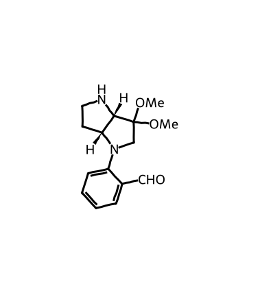 COC1(OC)CN(c2ccccc2C=O)[C@@H]2CCN[C@@H]21